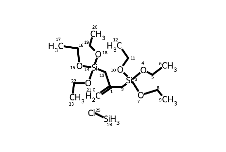 C=C(C[Si](OCC)(OCC)OCC)C[Si](OCC)(OCC)OCC.[SiH3]Cl